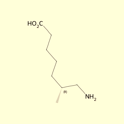 C[C@@H](CN)CCCCC(=O)O